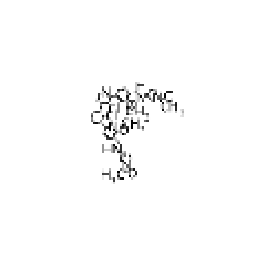 COc1cc(-c2nccc(-c3cccc(-c4ccc(CN[C@@H]5CCN(C(C)=O)C5)c(OC)n4)c3Cl)c2Cl)ccc1CN[C@@H]1CCN(C(C)=O)C1